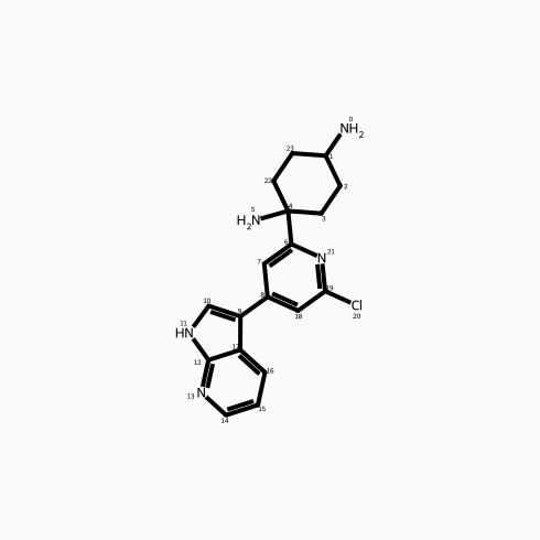 NC1CCC(N)(c2cc(-c3c[nH]c4ncccc34)cc(Cl)n2)CC1